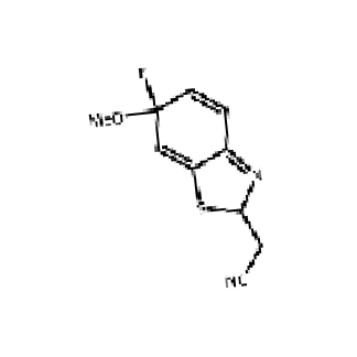 COC1(F)C=CC2=NC(CC#N)SC2=C1